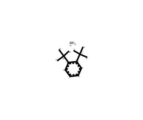 CC(C)(C)c1c[c]ccc1C(C)(C)C.[AlH3]